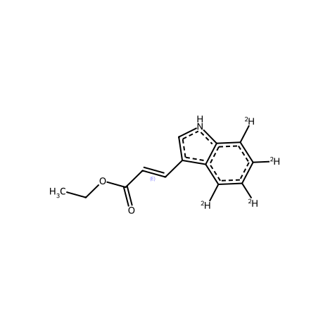 [2H]c1c([2H])c([2H])c2c(/C=C/C(=O)OCC)c[nH]c2c1[2H]